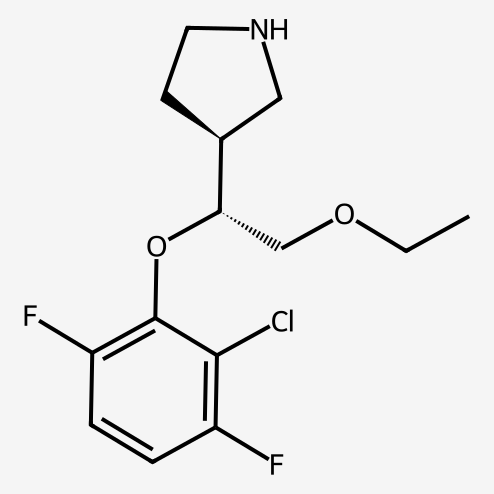 CCOC[C@H](Oc1c(F)ccc(F)c1Cl)[C@H]1CCNC1